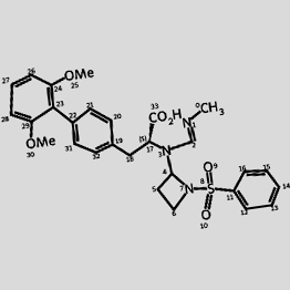 CN=CN(C1CCN1S(=O)(=O)c1ccccc1)[C@@H](Cc1ccc(-c2c(OC)cccc2OC)cc1)C(=O)O